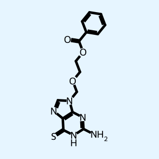 Nc1nc2c(ncn2COCCOC(=O)c2ccccc2)c(=S)[nH]1